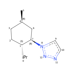 CC(C)[C@@H]1CC[C@@H](C)C[C@H]1n1ccnn1